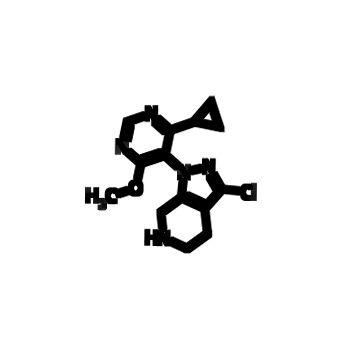 COc1ncnc(C2CC2)c1-n1nc(Cl)c2c1CNCC2